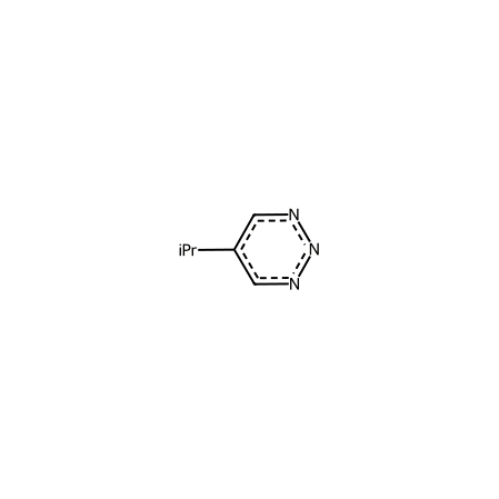 CC(C)c1cnnnc1